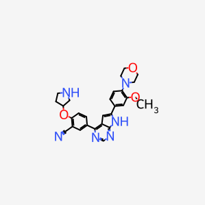 COc1cc(-c2cc3c(-c4ccc(OC5CCNC5)c(C#N)c4)ncnc3[nH]2)ccc1N1CCOCC1